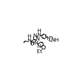 C=CCNC(=O)c1cnc(Nc2ccc(N3CCNCC3)cc2)nc1Nc1ccc2c(n1)C(CC)CC2